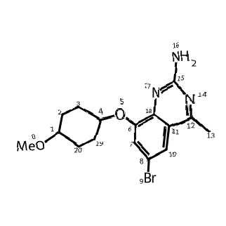 COC1CCC(Oc2cc(Br)cc3c(C)nc(N)nc23)CC1